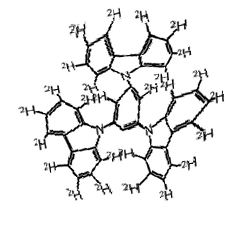 [2H]c1c(-n2c3c([2H])c([2H])c([2H])c([2H])c3c3c([2H])c([2H])c([2H])c([2H])c32)cc(-n2c3c([2H])c([2H])c([2H])c([2H])c3c3c([2H])c([2H])c([2H])c([2H])c32)c([2H])c1-n1c2c([2H])c([2H])c([2H])c([2H])c2c2c([2H])c([2H])c([2H])c([2H])c21